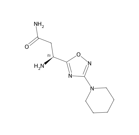 NC(=O)C[C@H](N)c1nc(N2CCCCC2)no1